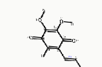 C/C=C/C1=C(C)C(=O)C(OC)=C(OC)C1=O